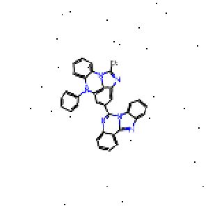 CCc1nc2cc(-c3nc4ccccc4c4nc5ccccc5n34)cc3c2n1-c1ccccc1N3c1ccccc1